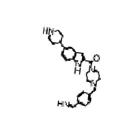 N=Cc1ccc(CN2CCN(C(=O)c3cc4cc(C5CCNCC5)ccc4[nH]3)CC2)cc1